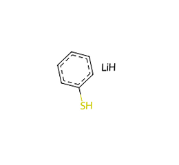 Sc1ccccc1.[LiH]